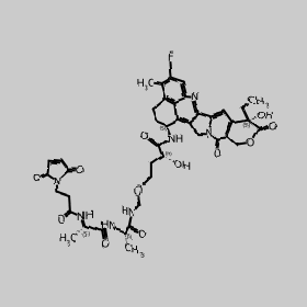 CC[C@@]1(O)C(=O)OCc2c1cc1n(c2=O)Cc2c-1nc1cc(F)c(C)c3c1c2[C@@H](NC(=O)[C@H](O)CCOCNC(=O)[C@H](C)NC(=O)[C@H](C)NC(=O)CCN1C(=O)C=CC1=O)CC3